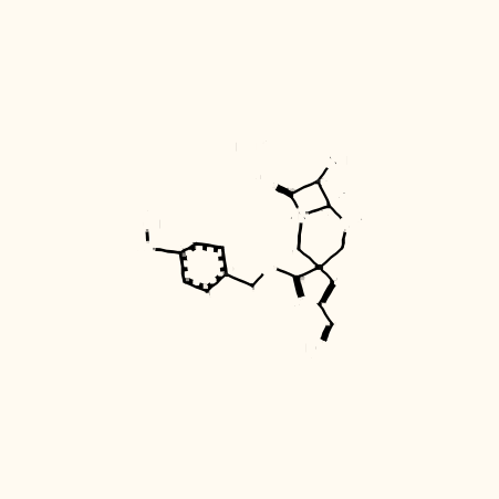 C=CC=CC1(C(=O)OCc2ccc(OC)cc2)CS[C@@H]2C(N)C(=O)N2C1.Cl